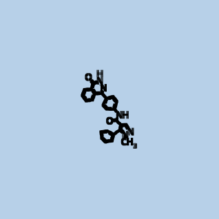 Cn1ncc(C(=O)Nc2ccc(-c3n[nH]c(=O)c4ccccc34)cc2)c1-c1ccccc1